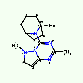 CC1=NC2=CCN(C)N2C(N2C3CCC[C@H]2CC3)=N1